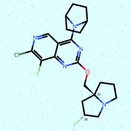 Fc1c(Cl)ncc2c(N3C4CCC3CC4)nc(OC[C@@]34CCCN3C[C@H](F)C4)nc12